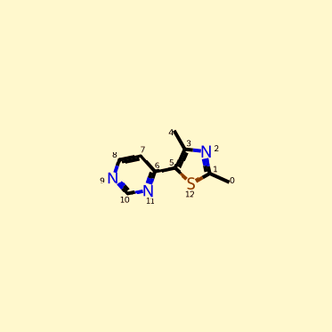 Cc1nc(C)c(-c2ccn[c]n2)s1